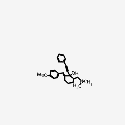 COc1ccc(C=C2CCCC(CN(C)C)C2(O)C#Cc2ccccc2)cc1